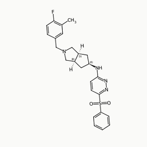 Cc1cc(CN2C[C@H]3C[C@@H](Nc4ccc(S(=O)(=O)c5ccccc5)nn4)C[C@H]3C2)ccc1F